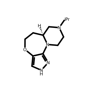 CC(C)N1CCN2c3n[nH]cc3OCC[C@H]2C1